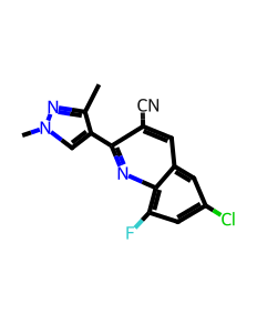 Cc1nn(C)cc1-c1nc2c(F)cc(Cl)cc2cc1C#N